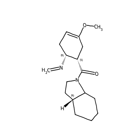 C=N[C@@H]1CC=C(OC)C[C@@H]1C(=O)N1CC[C@H]2CCCCC21